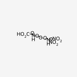 O=C(O)CCC(=O)NCCOCCOCCOCCNc1ccc([N+](=O)[O-])cc1[N+](=O)[O-]